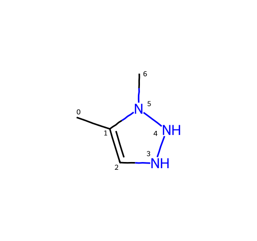 CC1=CNNN1C